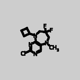 CN1CC(F)(F)CN(C2CCC2)c2nc(Cl)ncc21